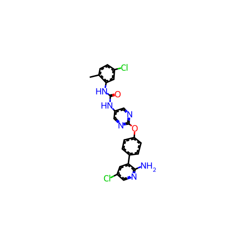 Cc1ccc(Cl)cc1NC(=O)Nc1cnc(Oc2ccc(-c3cc(Cl)cnc3N)cc2)nc1